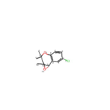 CC1(C)Oc2ccc(Cl)cc2C2OC21C